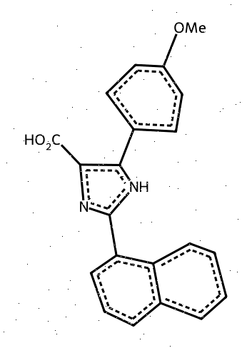 COc1ccc(-c2[nH]c(-c3cccc4ccccc34)nc2C(=O)O)cc1